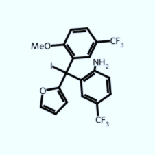 COc1ccc(C(F)(F)F)cc1C(I)(c1ccco1)c1cc(C(F)(F)F)ccc1N